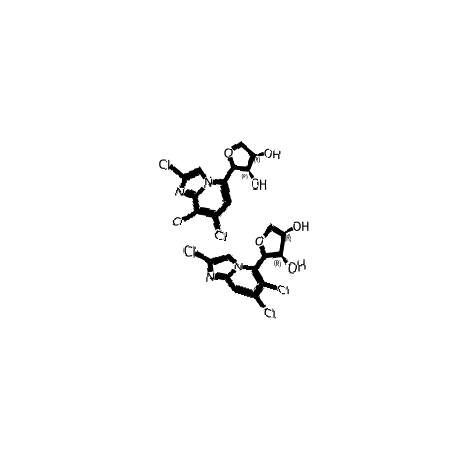 O[C@@H]1COC(c2c(Cl)c(Cl)cc3nc(Cl)cn23)[C@@H]1O.O[C@@H]1COC(c2cc(Cl)c(Cl)c3nc(Cl)cn23)[C@@H]1O